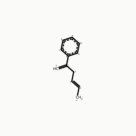 [CH]=C(CC=C[CH2])c1ccccc1